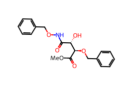 COC(=O)[C@H](OCc1ccccc1)[C@@H](O)C(=O)NOCc1ccccc1